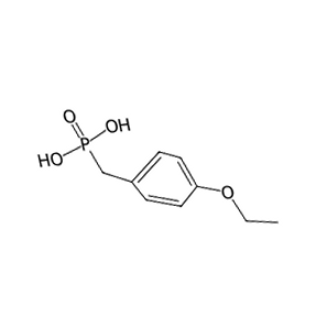 CCOc1ccc(CP(=O)(O)O)cc1